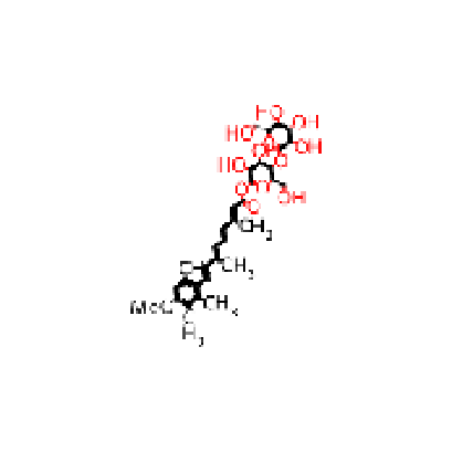 COc1cc(C)c(/C=C/C(C)=C/C=C/C(C)=C/C(=O)OC2O[C@H](CO)[C@@H](O[C@H]3O[C@H](CO)[C@@H](O)[C@H](O)[C@H]3O)[C@H](O)[C@H]2O)c(C)c1C